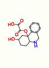 O=C(O)C(=O)OC12CC(O)CCC1NCc1ccccc12